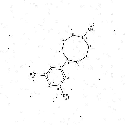 CN1CCOB(c2cc(C(F)(F)F)cc(C(F)(F)F)c2)OCC1